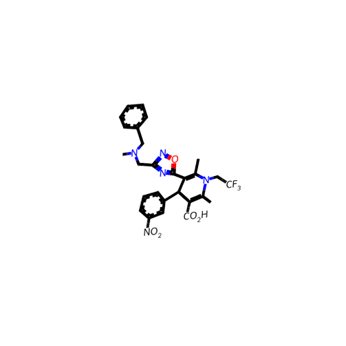 CC1=C(C(=O)O)C(c2cccc([N+](=O)[O-])c2)C(c2nc(CN(C)Cc3ccccc3)no2)=C(C)N1CC(F)(F)F